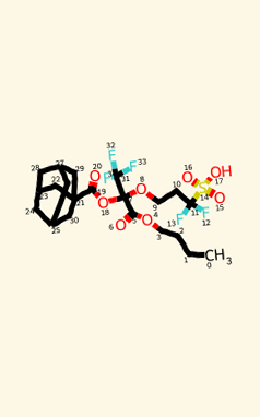 CCCCOC(=O)C(OCCC(F)(F)S(=O)(=O)O)(OC(=O)C12CC3CC(CC(C3)C1)C2)C(F)(F)F